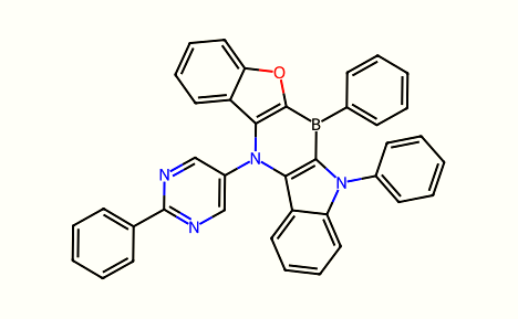 c1ccc(B2c3oc4ccccc4c3N(c3cnc(-c4ccccc4)nc3)c3c2n(-c2ccccc2)c2ccccc32)cc1